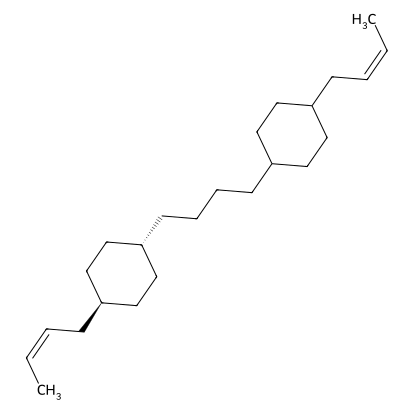 C/C=C\CC1CCC(CCCC[C@H]2CC[C@H](C/C=C\C)CC2)CC1